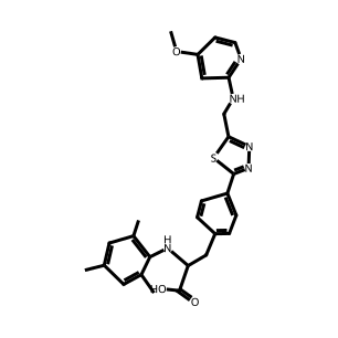 COc1ccnc(NCc2nnc(-c3ccc(CC(Nc4c(C)cc(C)cc4C)C(=O)O)cc3)s2)c1